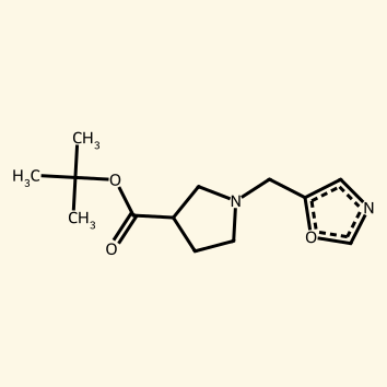 CC(C)(C)OC(=O)C1CCN(Cc2cnco2)C1